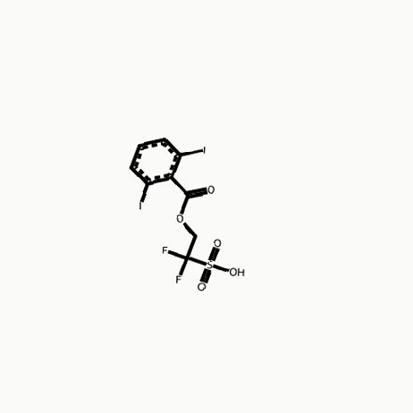 O=C(OCC(F)(F)S(=O)(=O)O)c1c(I)cccc1I